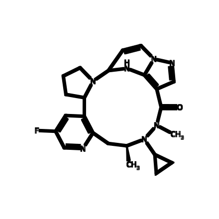 C[C@H]1Cc2ncc(F)cc2C2CCCN2C2C=Cn3ncc(c3N2)C(=O)N(C)N1C1CC1